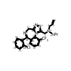 C=CCN(CCC)Cc1nnc2n1-c1c(cccc1C(F)(F)F)C(c1ccccc1Cl)=NC2